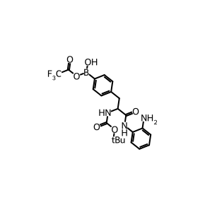 CC(C)(C)OC(=O)NC(Cc1ccc(B(O)OC(=O)C(F)(F)F)cc1)C(=O)Nc1ccccc1N